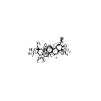 COC(=O)[C@@]12CC[C@]3(C)[C@H](C(=O)C=C4[C@@]5(C)C=C(C#N)C(=O)C(C)(C)[C@@H]5CC[C@]43C)[C@@H]1CC(C)(C)[C@@H](C)C2